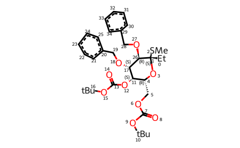 CC[C@@]1(SC)O[C@H](COC(=O)OC(C)(C)C)[C@H](OC(=O)OC(C)(C)C)[C@H](OCc2ccccc2)[C@H]1OCc1ccccc1